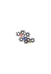 C1=Cc2c(oc3c(-c4cc(N(c5ccccc5)c5ccccc5)c(-c5ccc6sc7ccccc7c6c5)c5ccccc45)cccc23)CC1